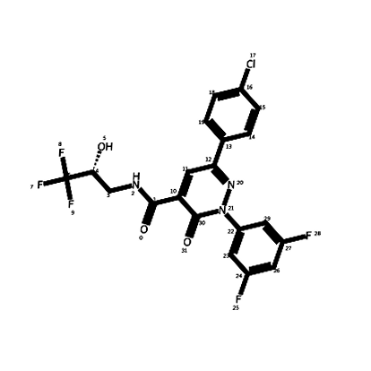 O=C(NC[C@@H](O)C(F)(F)F)c1cc(-c2ccc(Cl)cc2)nn(-c2cc(F)cc(F)c2)c1=O